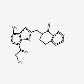 COC(=O)c1ccc(C)c2cc(CN3CCc4ccncc4C3=O)oc12